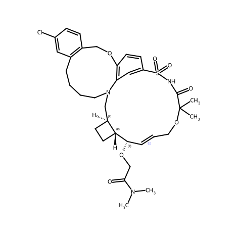 CN(C)C(=O)CO[C@H]1/C=C/COC(C)(C)C(=O)NS(=O)(=O)c2ccc3c(c2)N(CCCCc2cc(Cl)ccc2CO3)C[C@@H]2CC[C@H]21